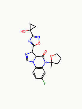 CC1(N2C(=O)C3C(c4nc(C5(O)CC5)no4)N=CN3c3ccc(F)cc32)CCCO1